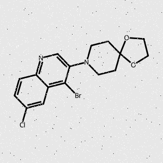 Clc1ccc2ncc(N3CCC4(CC3)OCCO4)c(Br)c2c1